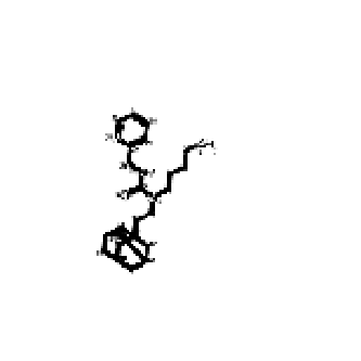 CCCCCN(CCC12CC3CC(CC(C3)C1)C2)C(=O)NCc1ccccn1